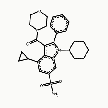 NS(=O)(=O)c1cc(C2CC2)c2c(C(=O)N3CCOCC3)c(-c3ccccc3)n(C3CCCCC3)c2c1